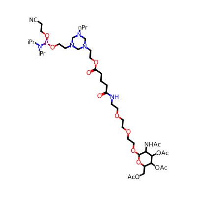 CCCN1CN(CCOC(=O)CCCC(=O)NCCOCCOCCOC2OC(COC(C)=O)C(OC(C)=O)C(OC(C)=O)C2NC(C)=O)CN(CCOP(OCCC#N)N(C(C)C)C(C)C)C1